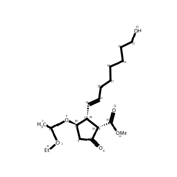 CCOC(C)O[C@@H]1CC(=O)[C@@H](C(=O)OC)[C@H]1C=CCCCCCCO